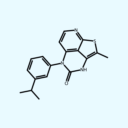 Cc1sc2nccc3c2c1NC(=O)N3c1cccc(C(C)C)c1